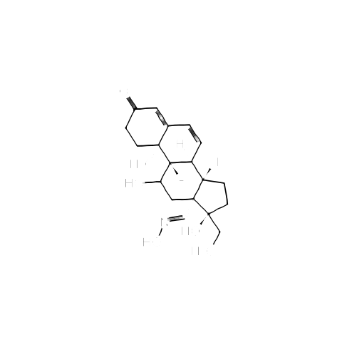 CC[C@@]1(O)CC[C@H]2[C@@H]3C=CC4=CC(=O)CC[C@]4(C)[C@@]3(F)C(O)C[C@@]21C=NO